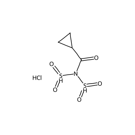 Cl.O=C(C1CC1)N([SH](=O)=O)[SH](=O)=O